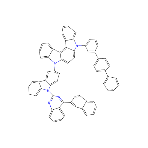 c1ccc(-c2ccc(-c3cccc(-n4c5ccccc5c5c6c7ccccc7n(-c7ccc8c(c7)c7ccccc7n8-c7nc(-c8ccc9ccccc9c8)c8ccccc8n7)c6ccc54)c3)cc2)cc1